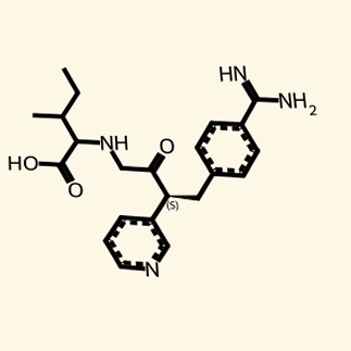 CCC(C)C(NCC(=O)[C@@H](Cc1ccc(C(=N)N)cc1)c1cccnc1)C(=O)O